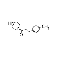 Cc1ccc(C=CC(=O)N2CCNCC2)cc1